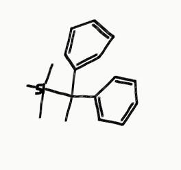 CC(c1ccccc1)(c1ccccc1)[Si](C)(C)C